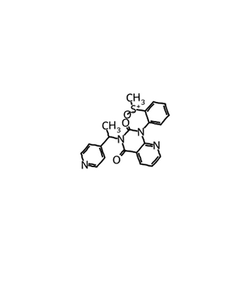 CC(c1ccncc1)n1c(=O)c2cccnc2n(-c2ccccc2[S+](C)[O-])c1=O